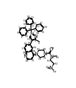 Cc1nn(C(c2ccccc2)(c2ccccc2)C2C=CC=CC2)cc1-c1ccc2nccc(N3CCN(C(=O)N(C)CCN(C)C)CC3)c2c1